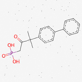 CC(C)(C(=O)CP(=O)(O)O)c1ccc(-c2ccccc2)cc1